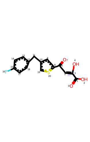 O=C(O)/C(O)=C/C(=O)c1cc(Cc2ccc(F)cc2)cs1